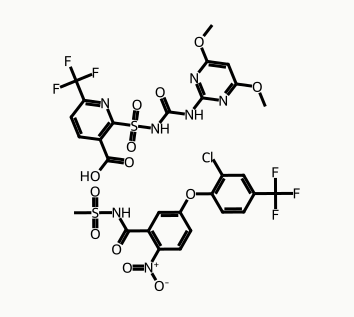 COc1cc(OC)nc(NC(=O)NS(=O)(=O)c2nc(C(F)(F)F)ccc2C(=O)O)n1.CS(=O)(=O)NC(=O)c1cc(Oc2ccc(C(F)(F)F)cc2Cl)ccc1[N+](=O)[O-]